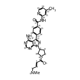 CNCC=CC(=O)N1CCC(n2nc(-c3ccc(C(=O)Nc4cc(C)ccn4)cc3)c3c(N)ncnc32)C1